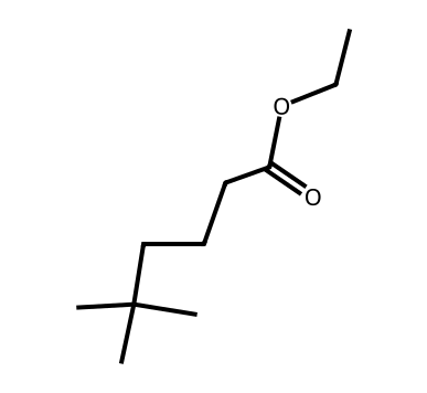 CCOC(=O)CCCC(C)(C)C